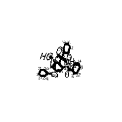 NC(=O)C(C(=O)NO)(c1ccccc1)c1ccc(Oc2ccccc2)cc1NC(=O)c1ccccc1